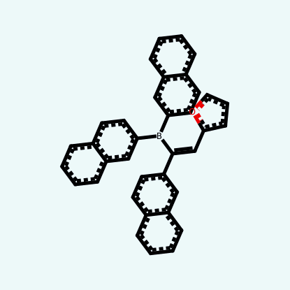 C(=C(/B(c1ccc2ccccc2c1)c1ccc2ccccc2c1)c1ccc2ccccc2c1)/c1ccco1